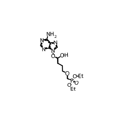 CCOP(=O)(COCCCC(O)On1cnc2c(N)ncnc21)OCC